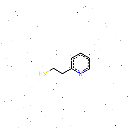 S[CH]Cc1ccccn1